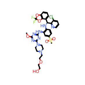 COc1nc(Nc2cc(S(C)(=O)=O)ccc2N[C@@H](c2cccc3c2OC(F)(F)O3)c2ncccc2Cl)nc(N2CCN(CCOCCO)CC2)n1